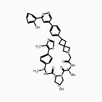 Cc1ncsc1-c1ccc([C@H](C)NC(=O)[C@@H]2C[C@@H](O)CN2C(=O)[C@@H](NC(=O)CN2CC3(CC(c4ccc(-c5cnnc(-c6ccccc6O)c5)cc4)C3)C2)C(C)(C)C)cc1